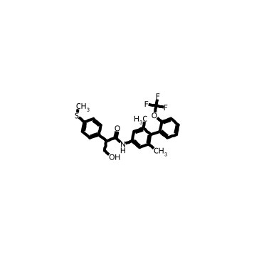 CSc1ccc(C(CO)C(=O)Nc2cc(C)c(-c3ccccc3OC(F)(F)F)c(C)c2)cc1